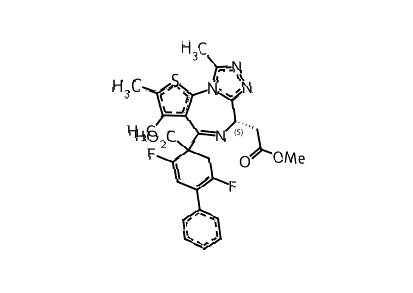 COC(=O)C[C@@H]1N=C(C2(C(=O)O)CC(F)=C(c3ccccc3)C=C2F)c2c(sc(C)c2C)-n2c(C)nnc21